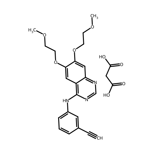 C#Cc1cccc(Nc2ncnc3cc(OCCOC)c(OCCOC)cc23)c1.O=C(O)CC(=O)O